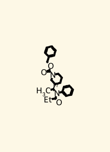 CCC(=O)N(c1ccccc1)C(C)[C@@H]1CCCN(C(=O)OCc2ccccc2)C1